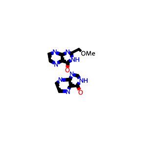 COCc1nc2nccnc2c(=O)[nH]1.O=c1[nH]cnc2nccnc12